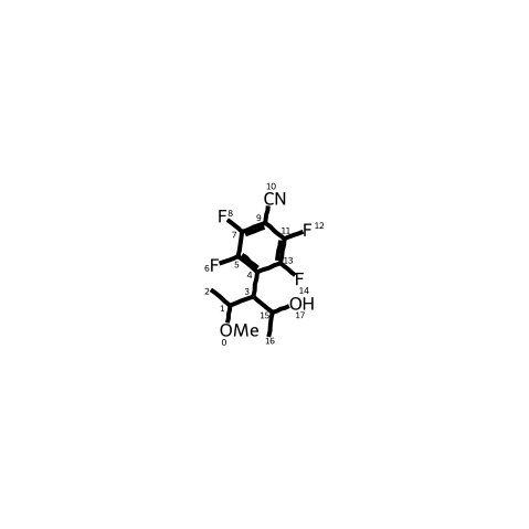 COC(C)C(c1c(F)c(F)c(C#N)c(F)c1F)C(C)O